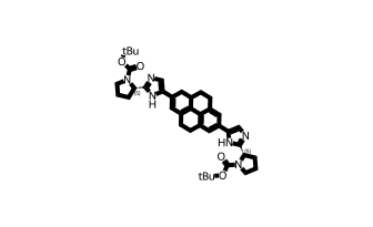 CC(C)(C)OC(=O)N1CCC[C@H]1c1ncc(C2=CC3=C4c5c(cc(-c6cnc([C@@H]7CCCN7C(=O)OC(C)(C)C)[nH]6)cc5CCC4C2)CC3)[nH]1